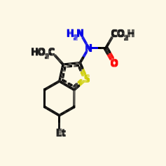 CCC1CCc2c(sc(N(N)C(=O)C(=O)O)c2C(=O)O)C1